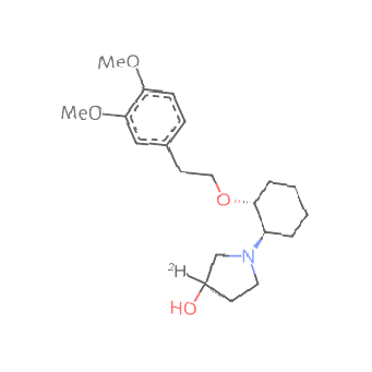 [2H]C1(O)CCN([C@@H]2CCCC[C@H]2OCCc2ccc(OC)c(OC)c2)C1